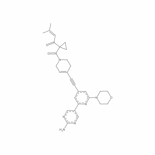 CC(C)=CC(=O)C1(C(=O)N2CC=C(C#Cc3cc(-c4cnc(N)nc4)nc(N4CCOCC4)c3)CC2)CC1